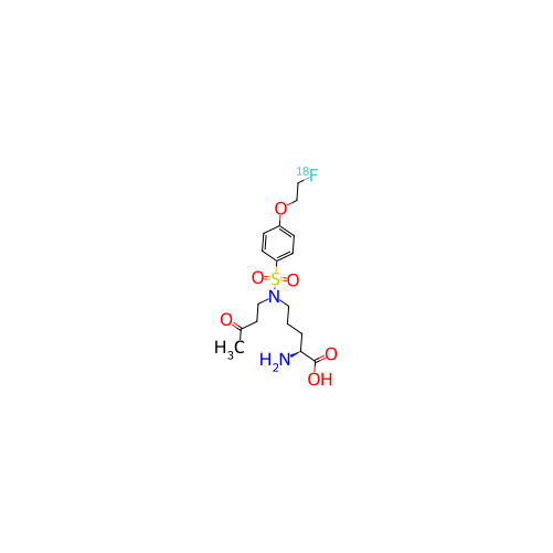 CC(=O)CCN(CCC[C@H](N)C(=O)O)S(=O)(=O)c1ccc(OCC[18F])cc1